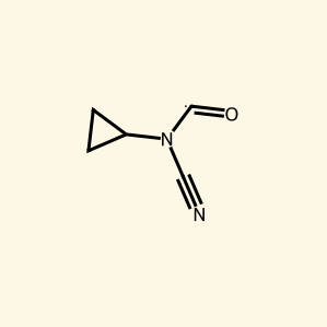 N#CN([C]=O)C1CC1